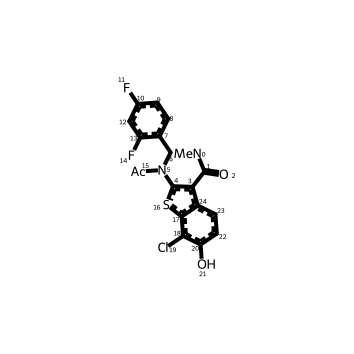 CNC(=O)c1c(N(Cc2ccc(F)cc2F)C(C)=O)sc2c(Cl)c(O)ccc12